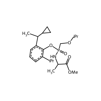 COC(=O)C(C)NP(=O)(COC(C)C)Oc1c(C(C)C)cccc1C(C)C1CC1